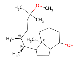 COC(C)(C)CC[C@H](C)[C@H](C)C1CCC2C(O)CCC[C@@]21C